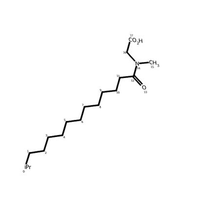 CC(C)CCCCCCCCCCCC(=O)N(C)CC(=O)O